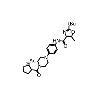 CC(=O)[C@H]1CCCC1C(=O)N1CCN(c2ccc(NC(=O)c3nc(C(C)(C)C)oc3C)cc2)CC1